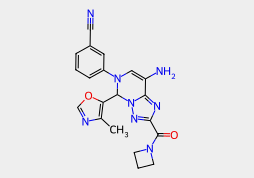 Cc1ncoc1C1N(c2cccc(C#N)c2)C=C(N)c2nc(C(=O)N3CCC3)nn21